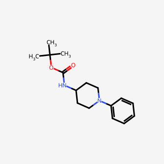 CC(C)(C)OC(=O)NC1CCN(c2ccccc2)CC1